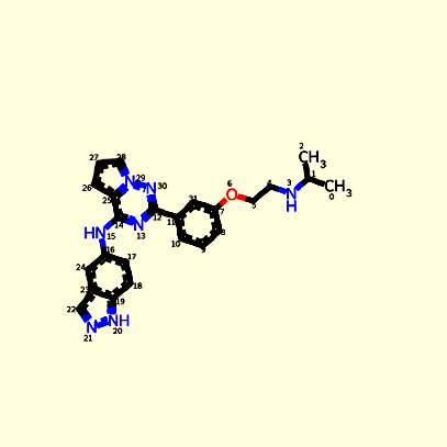 CC(C)NCCOc1cccc(-c2nc(Nc3ccc4[nH]ncc4c3)c3cccn3n2)c1